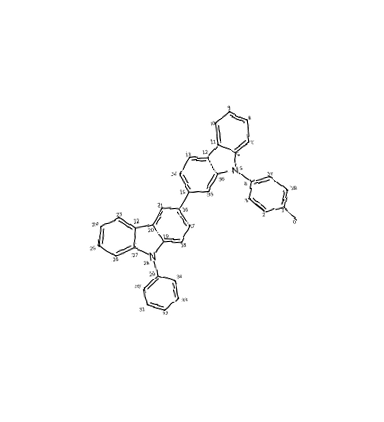 Cc1ccc(-n2c3ccccc3c3ccc(-c4ccc5c(c4)c4ccccc4n5-c4ccccc4)cc32)cc1